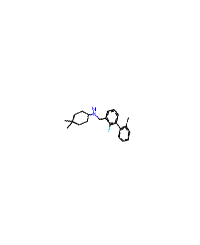 Cc1ccccc1-c1cccc(CNC2CCC(C)(C)CC2)c1F